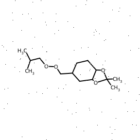 CC(C)COOCC1CCC2OC(C)(C)OC2C1